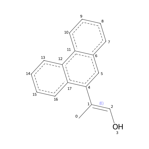 C/C(=C\O)c1cc2ccccc2c2ccccc12